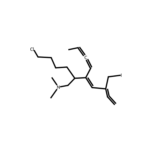 C=C=C(/C=C(\C=C=CC)C(CCCCCl)CN(C)C)CI